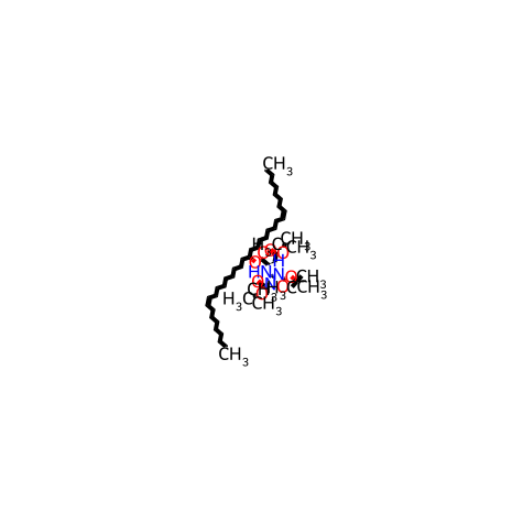 CCCCCCCC/C=C\CCCCCCCCC(CCCCCCC/C=C\CCCCCCCC)OC(=O)[C@H](CC(=O)OC(C)(C)C)N/C(=N\C(=O)OC(C)(C)C)NC(=O)OC(C)(C)C